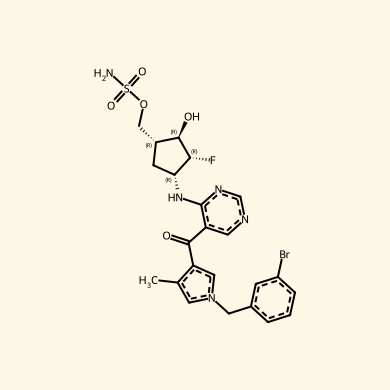 Cc1cn(Cc2cccc(Br)c2)cc1C(=O)c1cncnc1N[C@@H]1C[C@H](COS(N)(=O)=O)[C@@H](O)[C@@H]1F